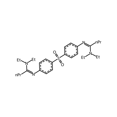 CCCC(=Nc1ccc(S(=O)(=O)c2ccc(N=C(CCC)N(CC)CC)cc2)cc1)N(CC)CC